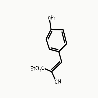 CCCc1ccc(C=C(C#N)C(=O)OCC)cc1